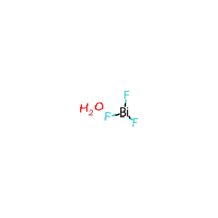 O.[F][Bi]([F])[F]